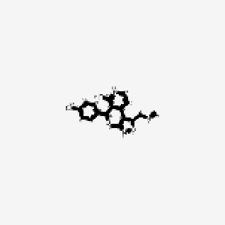 C=NCc1onc(C)c1-c1ccnc(F)c1C(=O)c1ccc(Cl)cc1